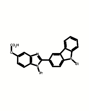 CCn1c2ccccc2c2cc(-c3nc4cc(OC(=O)O)ccc4n3C(C)C)ccc21